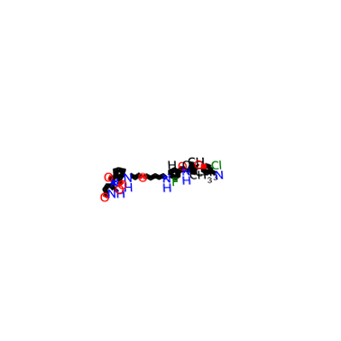 CC1(C)[C@H](NC(=O)c2ccc(NCCCCCOCCCNc3cccc4c3C(=O)N(C3CCC(=O)NC3=O)C4=O)c(F)c2)C(C)(C)[C@H]1Oc1ccc(C#N)c(Cl)c1